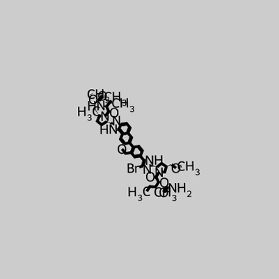 CC[C@H](C)[C@H](OC(N)=O)C(=O)N1C[C@@H](COC)C[C@H]1c1nc(Br)c(-c2ccc3c(c2)COc2cc4c(ccc5nc([C@@H]6CC[C@H](C)N6C(=O)[C@@H](NC(=O)OC)C(C)C)[nH]c54)cc2-3)[nH]1